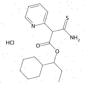 CCC(OC(=O)C(C(N)=S)c1ccccn1)C1CCCCC1.Cl